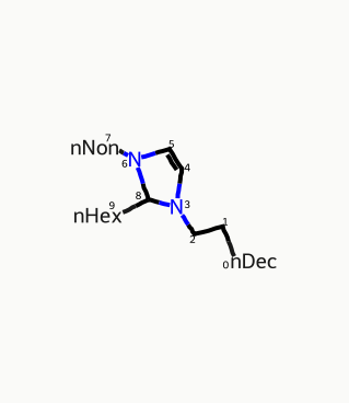 CCCCCCCCCCCCN1C=CN(CCCCCCCCC)C1CCCCCC